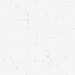 CCCCCCCCC(NCCC[Si](C)(OC)OC)(SCC)N(CC)CC